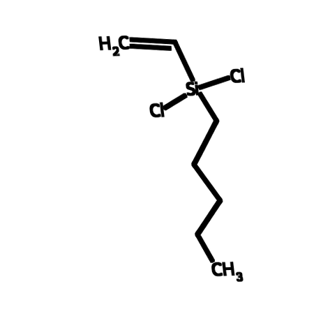 C=C[Si](Cl)(Cl)CCCCC